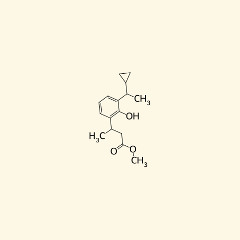 COC(=O)CC(C)c1cccc(C(C)C2CC2)c1O